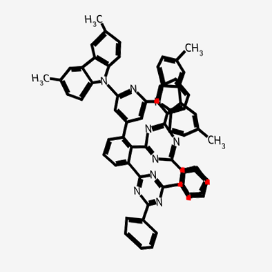 Cc1ccc2c(c1)c1cc(C)ccc1n2-c1cc(-c2cccc(-c3nc(-c4ccccc4)nc(-c4ccccc4)n3)c2-c2nc(-c3ccccc3)nc(-c3ccccc3)n2)cc(-n2c3ccc(C)cc3c3cc(C)ccc32)n1